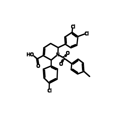 Cc1ccc(S(=O)(=O)N2C(c3ccc(Cl)c(Cl)c3)CC=C(C(=O)O)C2c2ccc(Cl)cc2)cc1